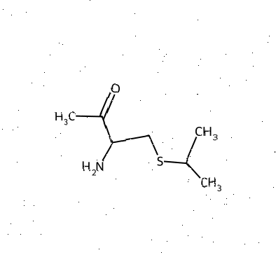 CC(=O)C(N)CSC(C)C